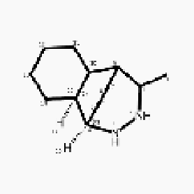 CC1NN[C@@H]2CCCCC1C1CCCC[C@@H]12